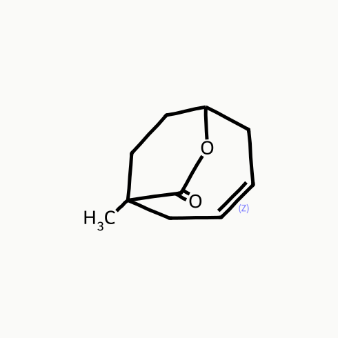 CC12C/C=C\CC(CC1)OC2=O